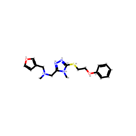 CN(Cc1ccoc1)Cc1nnc(SCCOc2ccccc2)n1C